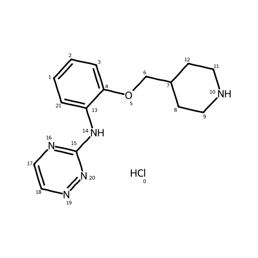 Cl.c1ccc(OCC2CCNCC2)c(Nc2nccnn2)c1